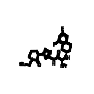 CCC[C@H](N[C@H]1CCc2cc(F)cc(F)c2C1)C(=O)Nc1cn(C2CCCN(CC(C)(C)C)C2=O)cn1